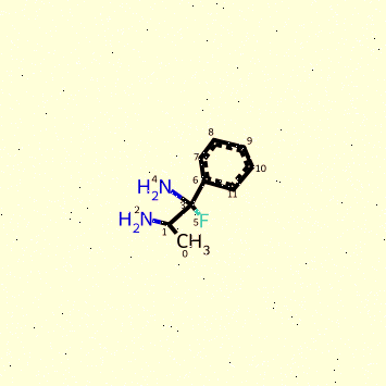 CC(N)C(N)(F)c1ccccc1